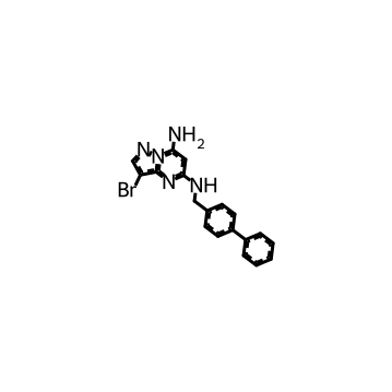 Nc1cc(NCc2ccc(-c3ccccc3)cc2)nc2c(Br)cnn12